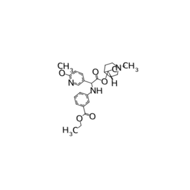 CCOC(=O)c1cccc(NC(C(=O)O[C@H]2C[N+]3(C)CCC2CC3)c2ccc(OC)nc2)c1